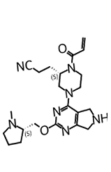 C=CC(=O)N1CCN(c2nc(OC[C@@H]3CCCN3C)nc3c2CNC3)C[C@@H]1CCC#N